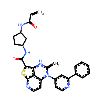 C=CC(=O)NC1CC[C@H](NC(=O)c2sc3nccc4c3c2[nH]c(=C)n4-c2ccnc(-c3ccccc3)c2)C1